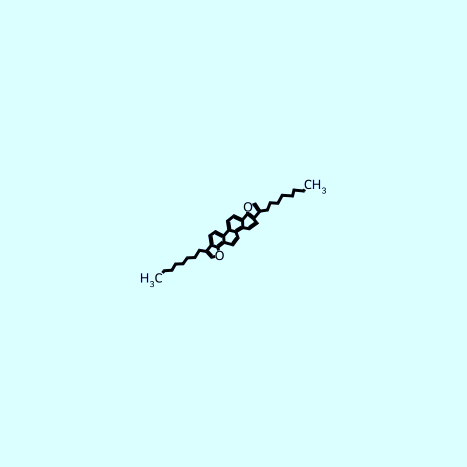 CCCCCCCCc1coc2c1ccc1c3ccc4c(ccc5c(CCCCCCCC)coc54)c3ccc12